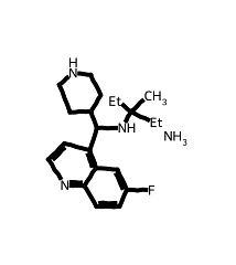 CCC(C)(CC)NC(c1ccnc2ccc(F)cc12)C1CCNCC1.N